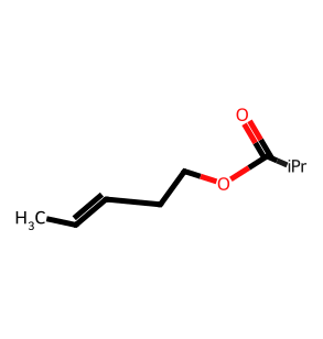 CC=CCCOC(=O)C(C)C